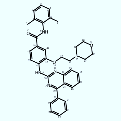 Cc1cccc(C)c1NC(=O)c1ccc(Nc2nc(-c3ccccc3)c3ccccc3n2)c(OCCN2CCOCC2)c1